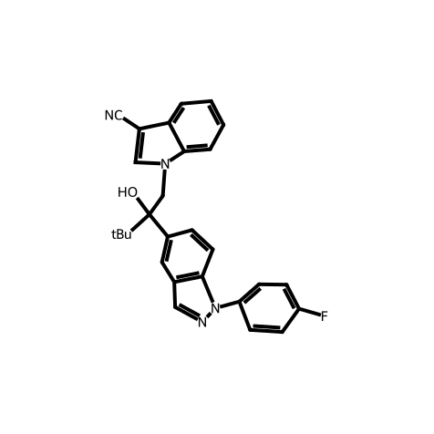 CC(C)(C)C(O)(Cn1cc(C#N)c2ccccc21)c1ccc2c(cnn2-c2ccc(F)cc2)c1